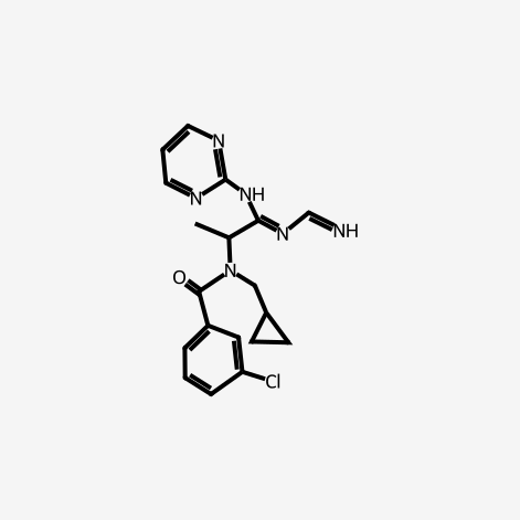 CC(/C(=N/C=N)Nc1ncccn1)N(CC1CC1)C(=O)c1cccc(Cl)c1